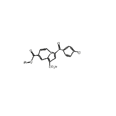 CC(C)OC(=O)c1ccn2c(C(=O)c3ccc(Cl)cc3)cc(C(=O)O)c2c1